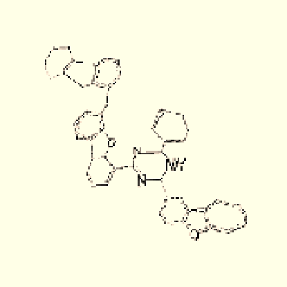 C1=CC2c3cccc(Cc4cccc5c4CC4=C5C=CCC4)c3OC2C(C2=NC(c3ccc4oc5ccccc5c4c3)NC(C3=CCCC=C3)=N2)=C1